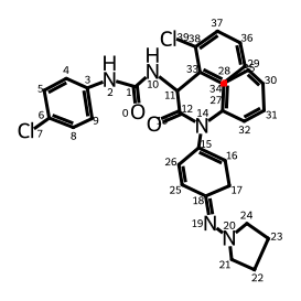 O=C(Nc1ccc(Cl)cc1)NC(C(=O)N(C1=CCC(=NN2CCCC2)C=C1)c1ccccc1)c1ccccc1Cl